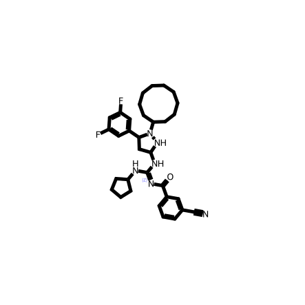 N#Cc1cccc(C(=O)/N=C(/NC2CCCC2)NC2CC(c3cc(F)cc(F)c3)N(C3CCCCCCCCC3)N2)c1